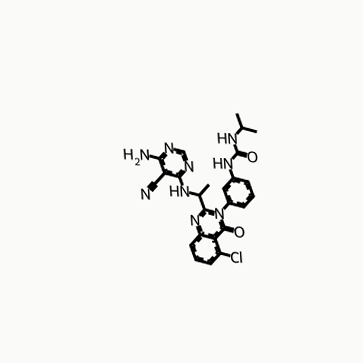 CC(C)NC(=O)Nc1cccc(-n2c(C(C)Nc3ncnc(N)c3C#N)nc3cccc(Cl)c3c2=O)c1